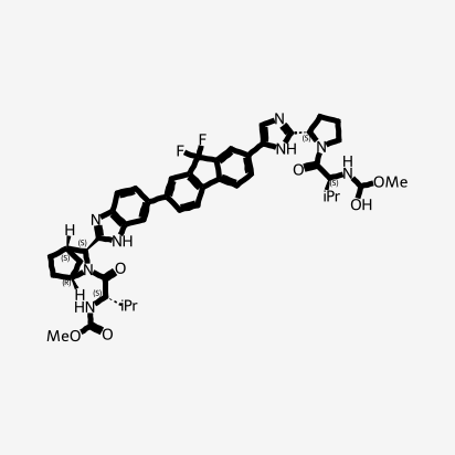 COC(=O)N[C@H](C(=O)N1[C@@H]2CC[C@@H](C2)[C@H]1c1nc2ccc(-c3ccc4c(c3)C(F)(F)c3cc(-c5cnc([C@@H]6CCCN6C(=O)[C@@H](NC(O)OC)C(C)C)[nH]5)ccc3-4)cc2[nH]1)C(C)C